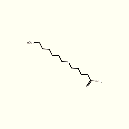 CCCCCCCCCCCCCCSCCCCC(N)=O